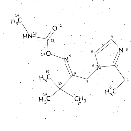 CCc1nccn1CC(=NOC(=O)NC)C(C)(C)C